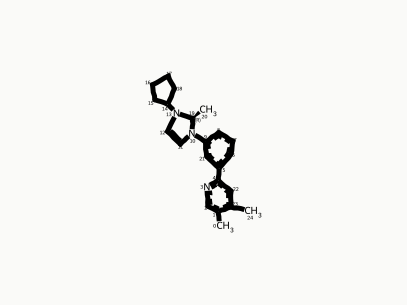 Cc1cnc(-c2cccc(N3C=CN(C4CCCC4)[C@H]3C)c2)cc1C